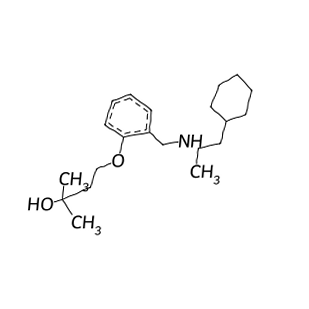 CC(CC1CCCCC1)NCc1ccccc1OCCC(C)(C)O